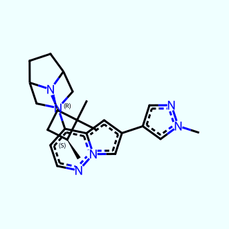 C[C@H]1C[C@@H](N2C3CCC2CN(c2ccnn4cc(-c5cnn(C)c5)cc24)C3)C1(C)C